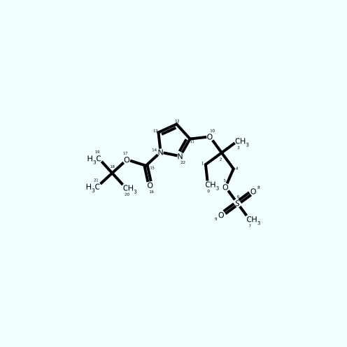 CCC(C)(COS(C)(=O)=O)Oc1ccn(C(=O)OC(C)(C)C)n1